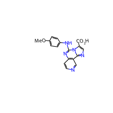 COc1ccc(Nc2nc3ccncc3c3ncc(C(=O)O)n23)cc1